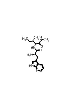 CC[C@H](C)[C@H](NC(=O)[C@H](N)Cc1c[nH]c2ncccc12)C(=O)NC